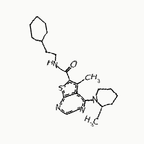 Cc1c(C(=O)NCCC2CCCCC2)sc2ncnc(N3CCCCC3C)c12